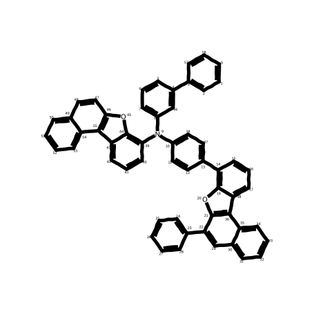 c1ccc(-c2cccc(N(c3ccc(-c4cccc5c4oc4c(-c6ccccc6)cc6ccccc6c45)cc3)c3cccc4c3oc3ccc5ccccc5c34)c2)cc1